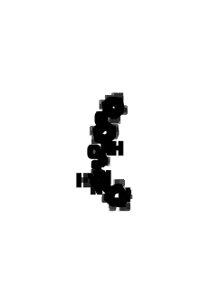 O=C(CSc1nc(-c2cccnc2)n[nH]1)Nc1ccc(Oc2ccccc2)cc1